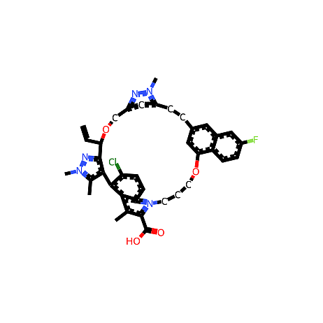 C=CC1OCc2cc(n(C)n2)CCc2cc(c3ccc(F)cc3c2)OCCCn2c(C(=O)O)c(C)c3c(c(Cl)ccc32)-c2c1nn(C)c2C